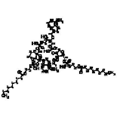 CCCCCCCCCC(=O)OCCSP(=O)(O)OCC1OCCC[C@]1(COP(=O)(O)OCC(O)[C@@H](COP(=O)(O)OC1CO[C@H](COP(=O)(O)SCCOC(=O)CCCCCCCCC)C1OC)OCn1cnc2c(N)ncnc21)OCn1cnc2c(N)ncnc21